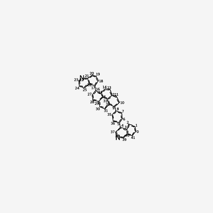 c1ccc2c(-c3ccc(-c4ccc5ccc6c(-c7cccc8ncccc78)ccc7ccc4c5c76)cc3)cncc2c1